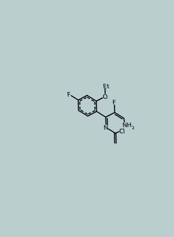 C=C(Cl)/N=C(\C(F)=C/N)c1ccc(F)cc1OCC